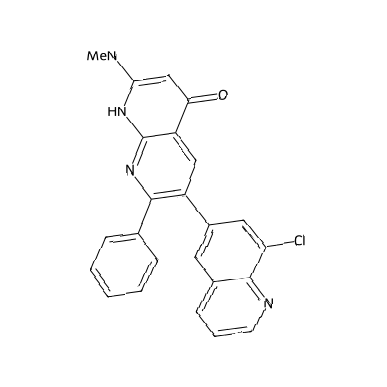 CNc1cc(=O)c2cc(-c3cc(Cl)c4ncccc4c3)c(-c3ccccc3)nc2[nH]1